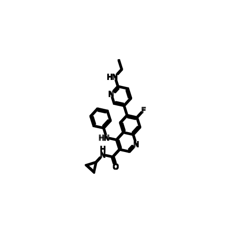 CCNc1ccc(-c2cc3c(Nc4ccccc4)c(C(=O)NC4CC4)cnc3cc2F)cn1